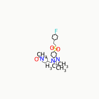 CC(=O)N1CCC(Cn2c(C(C)(C)C)nc3cc(S(=O)(=O)CCc4ccc(F)cc4)ccc32)CC1